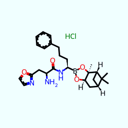 CC1(C)[C@@H]2C[C@H]3OB([C@H](CCCc4ccccc4)NC(=O)C(N)Cc4ncco4)O[C@@]3(C)[C@H]1C2.Cl